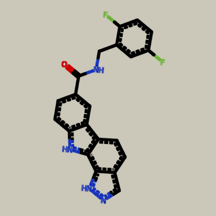 O=C(NCc1cc(F)ccc1F)c1ccc2[nH]c3c(ccc4cn[nH]c43)c2c1